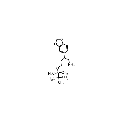 CC(C)(C)[Si](C)(C)OCCC(CN)c1ccc2c(c1)OCO2